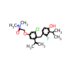 C=C(C)c1cc(OCC(=O)N(C)C)cc(Cl)c1Cc1ccc(O)c(C(C)C)c1F